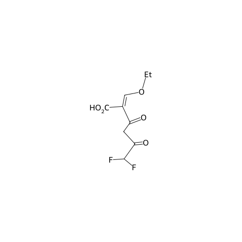 CCOC=C(C(=O)O)C(=O)CC(=O)C(F)F